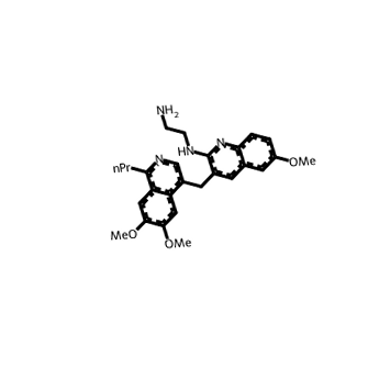 CCCc1ncc(Cc2cc3cc(OC)ccc3nc2NCCN)c2cc(OC)c(OC)cc12